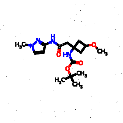 COC1CC(CC(=O)Nc2ccn(C)n2)(NC(=O)OC(C)(C)C)C1